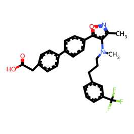 Cc1noc(-c2ccc(-c3ccc(CC(=O)O)cc3)cc2)c1N(C)CCCc1cccc(C(F)(F)F)c1